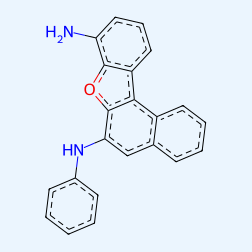 Nc1cccc2c1oc1c(Nc3ccccc3)cc3ccccc3c12